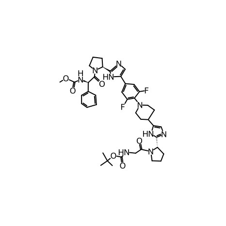 COC(=O)N[C@@H](C(=O)N1CCC[C@H]1c1ncc(-c2cc(F)c(N3CCC(c4cnc([C@@H]5CCCN5C(=O)CNC(=O)OC(C)(C)C)[nH]4)CC3)c(F)c2)[nH]1)c1ccccc1